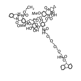 C=CCOC(=O)N1C[C@@H]2Cc3ccccc3CN2C(=O)c2cc(OC)c(OCCCCCOc3cc4c(cc3OC)C(=O)N3CC5(CC5)C[C@H]3[C@H](O)N4C(=O)OCc3ccc(O[C@@H]4O[C@H](C(=O)O)[C@@H](O)[C@H](O)[C@H]4O)c(NC(=O)CCOCCOCCOCCOCCNC(=O)OCC4c5ccccc5-c5ccccc54)c3)cc21